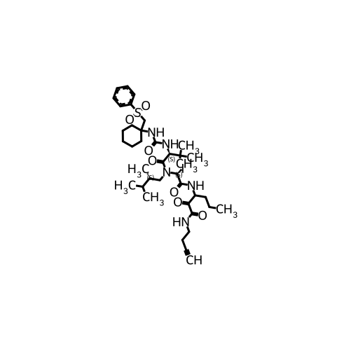 C#CCCNC(=O)C(=O)C(CCC)NC(=O)[C@H](I)N(C[C@@H](C)C(C)C)C(=O)[C@@H](NC(=O)NC1(CS(=O)(=O)c2ccccc2)CCCCC1)C(C)(C)C